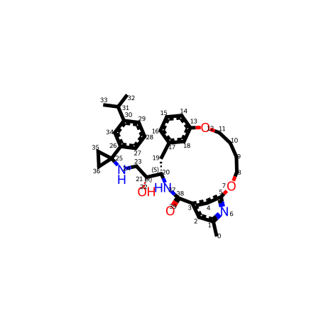 Cc1cc2cc(n1)OCCCCOc1cccc(c1)C[C@@H]([C@H](O)CNC1(c3cccc(C(C)C)c3)CC1)NC2=O